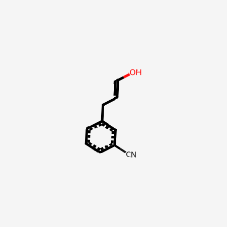 N#Cc1cccc(CC=CO)c1